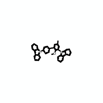 COc1c(-c2ccc(-n3c4ccccc4c4ccccc43)cc2)cc(C)cc1-n1c2ccccc2c2ccccc21